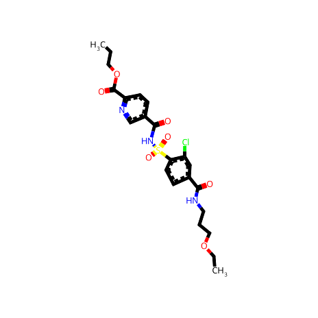 CCCOC(=O)c1ccc(C(=O)NS(=O)(=O)c2ccc(C(=O)NCCCOCC)cc2Cl)cn1